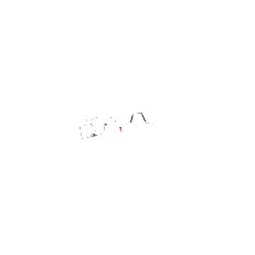 Cc1ccc(C(=O)N[C@@H]2C[C@H]3CCN(C3)C2)o1